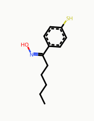 CCCCC/C(=N/O)c1ccc(S)cc1